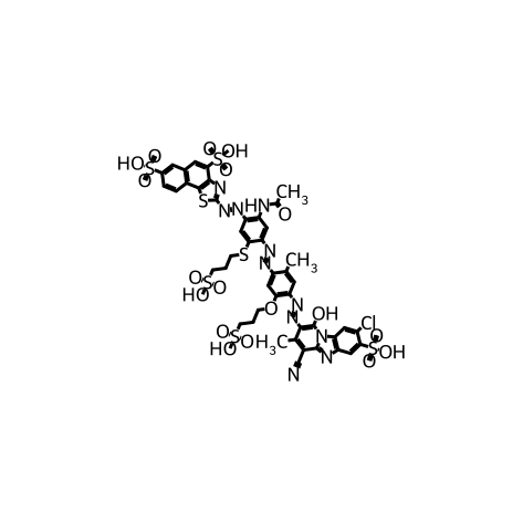 CC(=O)Nc1cc(N=Nc2cc(OCCCS(=O)(=O)O)c(N=Nc3c(C)c(C#N)c4nc5cc(S(=O)(=O)O)c(Cl)cc5n4c3O)cc2C)c(SCCCS(=O)(=O)O)cc1N=Nc1nc2c(S(=O)(=O)O)cc3cc(S(=O)(=O)O)ccc3c2s1